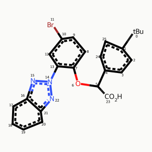 CC(C)(C)c1ccc(C(Oc2ccc(Br)cc2-n2nc3ccccc3n2)C(=O)O)cc1